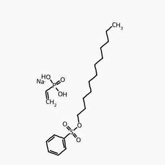 C=CP(=O)(O)O.CCCCCCCCCCCCOS(=O)(=O)c1ccccc1.[Na]